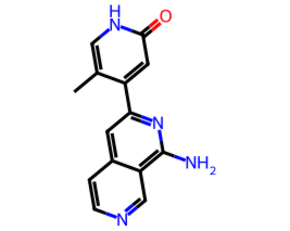 Cc1c[nH]c(=O)cc1-c1cc2ccncc2c(N)n1